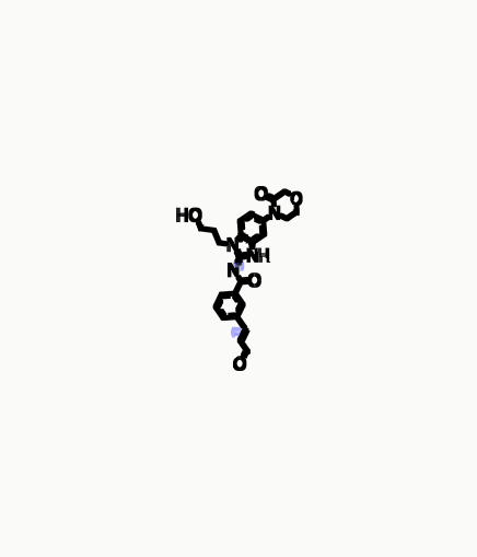 O=C/C=C/c1cccc(C(=O)/N=c2\[nH]c3cc(N4CCOCC4=O)ccc3n2CCCO)c1